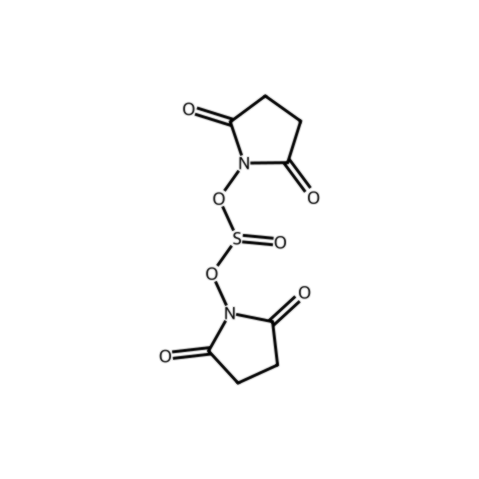 O=C1CCC(=O)N1OS(=O)ON1C(=O)CCC1=O